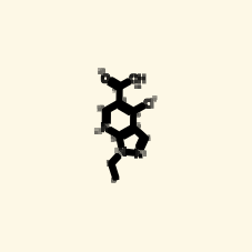 CCn1ncc2c(Cl)c(C(=O)O)cnc21